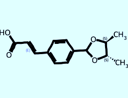 C[C@@H]1OC(c2ccc(/C=C/C(=O)O)cc2)O[C@H]1C